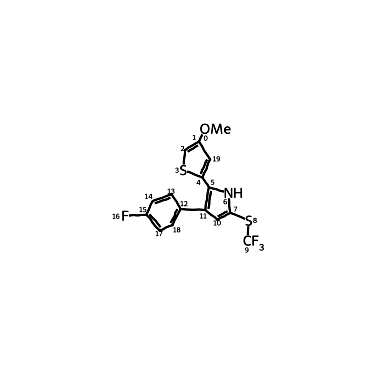 COc1csc(-c2[nH]c(SC(F)(F)F)cc2-c2ccc(F)cc2)c1